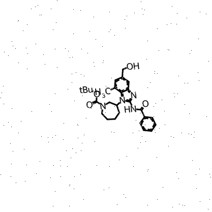 Cc1cc(CO)cc2nc(NC(=O)c3ccccc3)n(C3CCCCN(C(=O)OC(C)(C)C)C3)c12